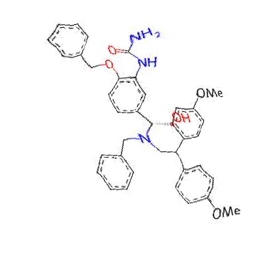 COc1ccc(C(CN(Cc2ccccc2)[C@@H](CO)c2ccc(OCc3ccccc3)c(NC(N)=O)c2)c2ccc(OC)cc2)cc1